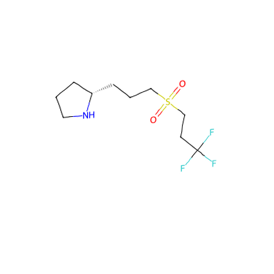 O=S(=O)(CCC[C@H]1CCCN1)CCC(F)(F)F